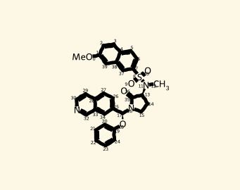 COc1ccc2ccc(S(=O)(=O)N(C)[C@H]3CCN([C@H](Oc4ccccc4)c4ccc5ccncc5c4)C3=O)cc2c1